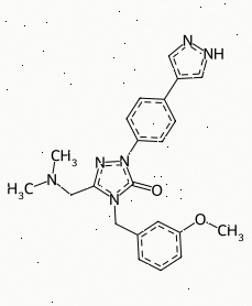 COc1cccc(Cn2c(CN(C)C)nn(-c3ccc(-c4cn[nH]c4)cc3)c2=O)c1